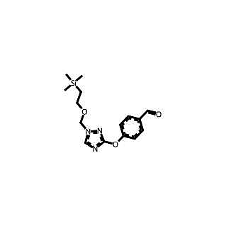 C[Si](C)(C)CCOCn1cnc(Oc2ccc(C=O)cc2)n1